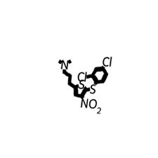 CN(C)CCCc1cc([N+](=O)[O-])c(Sc2ccc(Cl)cc2Cl)s1